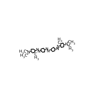 CCN(CC)c1ccc(N=Nc2ccc(N=Nc3ccc(N=Nc4ccc(N(CC)CC)cc4C)cc3)cc2)c(C)c1